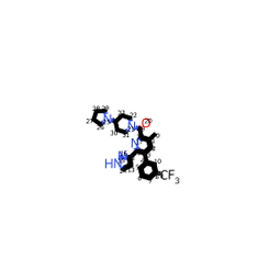 Cc1cc(-c2cccc(C(F)(F)F)c2)c(-c2cc[nH]n2)nc1C(=O)N1CCC(N2CCCC2)CC1